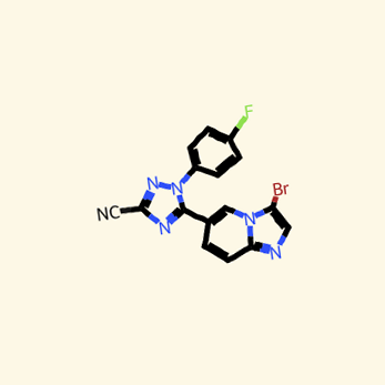 N#Cc1nc(-c2ccc3ncc(Br)n3c2)n(-c2ccc(F)cc2)n1